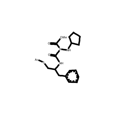 COC(=O)N(NC1CCCC1)C(=O)NC(CSC(C)=O)Cc1ccccc1